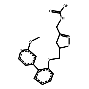 COc1cc(-c2ccccc2OCC2CC(CNC(=O)O)=NO2)ccn1